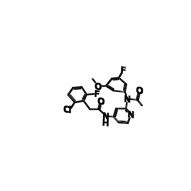 COc1cc(F)cc(N(C(C)=O)c2cc(NC(=O)Cc3c(F)cccc3Cl)ccn2)c1